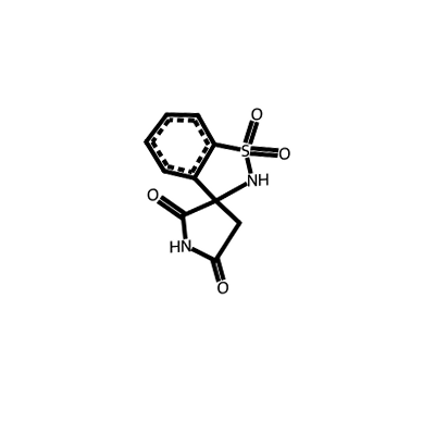 O=C1CC2(NS(=O)(=O)c3ccccc32)C(=O)N1